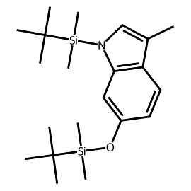 Cc1cn([Si](C)(C)C(C)(C)C)c2cc(O[Si](C)(C)C(C)(C)C)ccc12